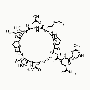 CC[C@H](C)[C@@H]1NC(=O)[C@H](CC(=O)O)NC(=O)[C@H](CCSC)NC(=O)[C@@H]2CCCN2C(=O)[C@@H](NC(=O)[C@H](CCC(N)=O)NC(=O)[C@H](CO)NC(C)=O)CSSC[C@@H](C(N)=O)NC(=O)[C@H]([C@@H](C)O)NC(=O)[C@@H]2CCCN2C1=O